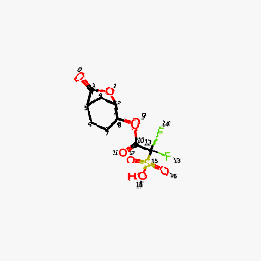 O=C1OC2CC1CCC2OC(=O)C(F)(F)S(=O)(=O)O